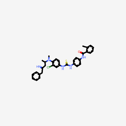 Cc1ccccc1C(=O)Nc1ccc(NC(=S)Nc2ccc(N(C)C(C)CC(=N)Cc3ccccc3)c(Cl)c2)cc1